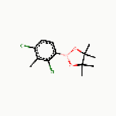 Cc1c(Cl)ccc(B2OC(C)(C)C(C)(C)O2)c1Cl